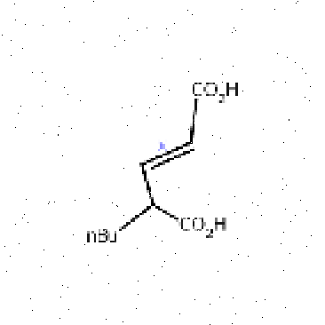 CCCCC(/C=C/C(=O)O)C(=O)O